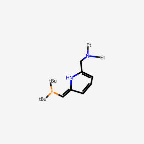 CCN(CC)CC1=CC=CC(=CP(C(C)(C)C)C(C)(C)C)N1